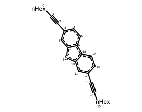 CCCCCCC#Cc1ccc2c(c1)sc1cc(C#CCCCCCC)ccc12